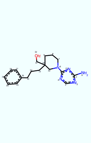 Nc1ncnc(N2CCCC(CO)(CCCc3ccccc3)C2)n1